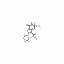 CC(=O)c1c(N2CCOCC2)sc2c1CC(C)(C)CC2=O